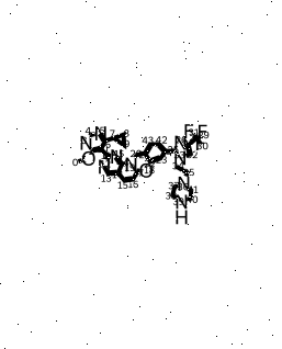 COc1ncnc(C2CC2)c1-c1ncc2ccc(=O)n(Cc3ccc(-c4nc(C(F)(F)F)cn4CCN4CCNCC4)cc3)c2n1